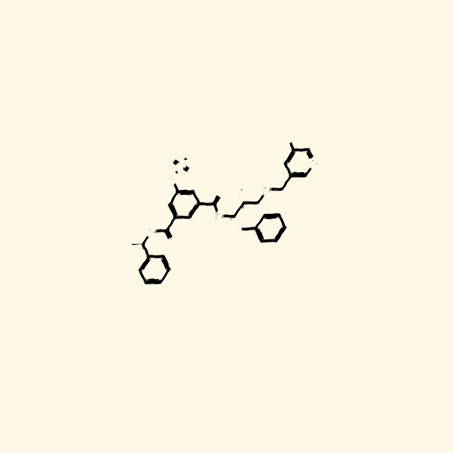 CCS(=O)(=O)Nc1cc(C(=O)N[C@@H](Cc2ccccc2)[C@H](O)CNCc2cncc(C(F)(F)F)c2)cc(C(=O)N[C@H](C)c2ccccc2)c1